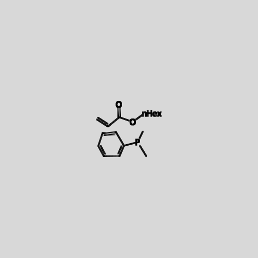 C=CC(=O)OCCCCCC.CP(C)c1ccccc1